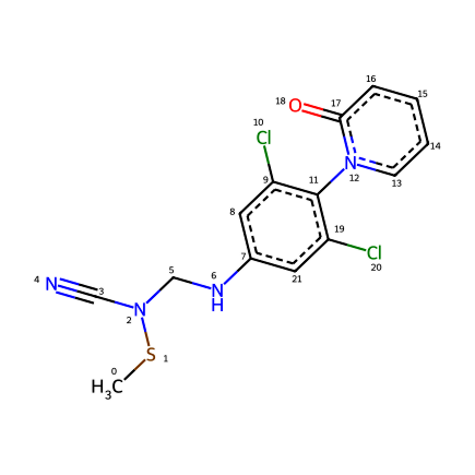 CSN(C#N)CNc1cc(Cl)c(-n2ccccc2=O)c(Cl)c1